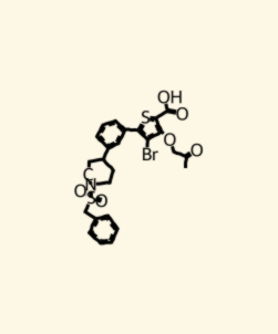 CC(=O)COc1c(C(=O)O)sc(-c2cccc(C3CCN(S(=O)(=O)Cc4ccccc4)CC3)c2)c1Br